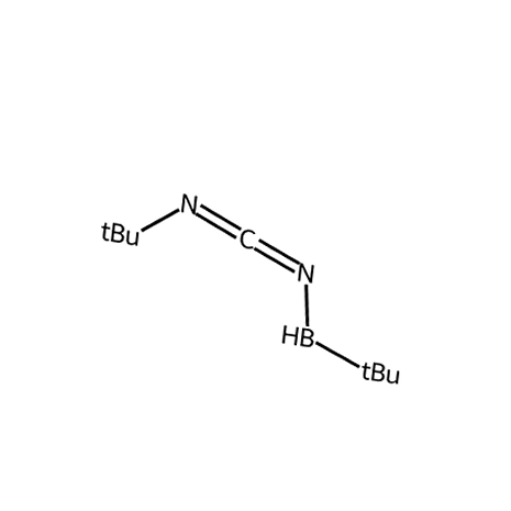 CC(C)(C)BN=C=NC(C)(C)C